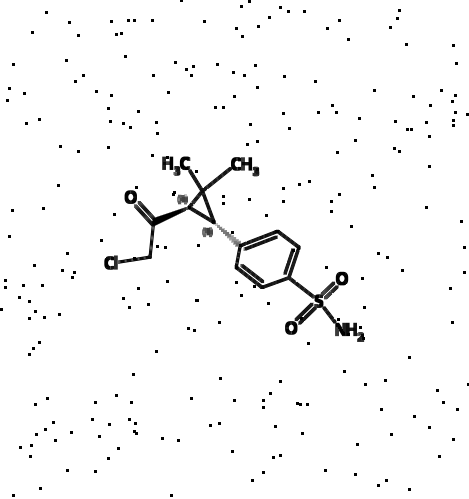 CC1(C)[C@H](C(=O)CCl)[C@H]1c1ccc(S(N)(=O)=O)cc1